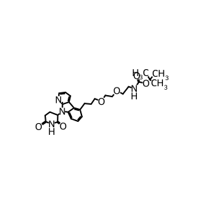 CC(C)(C)OC(=O)NCCOCCOCCCc1cccc2c1c1cccnc1n2C1CCC(=O)NC1=O